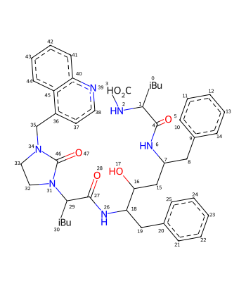 CCC(C)C(NC(=O)O)C(=O)NC(Cc1ccccc1)CC(O)C(Cc1ccccc1)NC(=O)C(C(C)CC)N1CCN(Cc2ccnc3ccccc23)C1=O